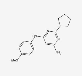 COc1ccc(Nc2cc(N)nc(C3CCCC3)n2)cc1